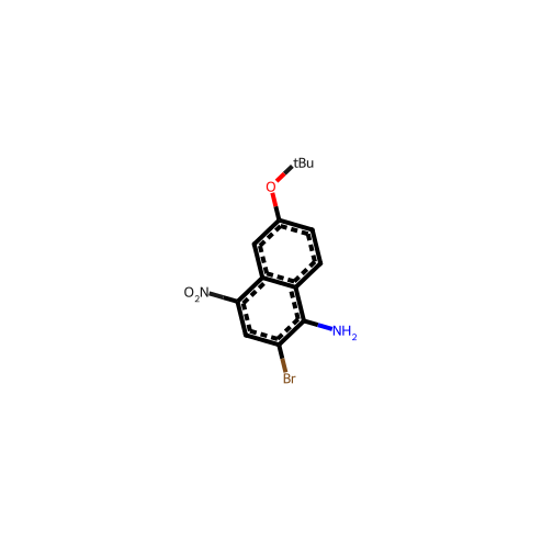 CC(C)(C)Oc1ccc2c(N)c(Br)cc([N+](=O)[O-])c2c1